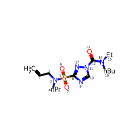 C=CCN(CCC)S(=O)(=O)c1ncn(C(=O)N(CC)CCCC)n1